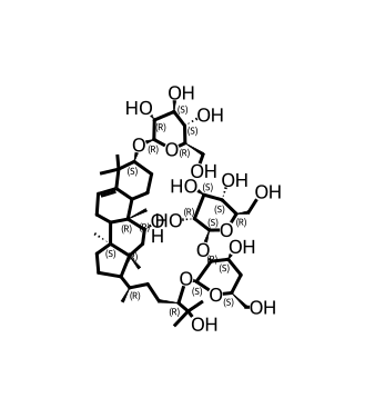 C[C@H](CC[C@@H](O[C@@H]1O[C@H](CO)C[C@H](O)[C@H]1O[C@@H]1O[C@H](CO)[C@@H](O)[C@H](O)[C@H]1O)C(C)(C)O)C1CC[C@@]2(C)C3CC=C4C(CC[C@H](O[C@@H]5O[C@H](CO)[C@@H](O)[C@H](O)[C@H]5O)C4(C)C)[C@]3(C)[C@H](O)C[C@]12C